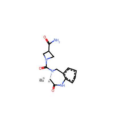 CC[C@H](C)[C@H]1C(=O)Nc2ccccc2CN1C(=O)N1CC(C(N)=O)C1